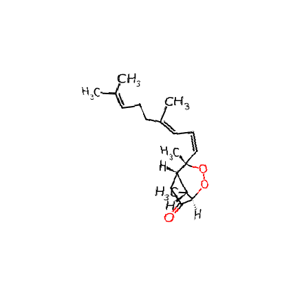 CC(C)=CCC/C(C)=C/C=C\[C@]1(C)OO[C@H]2C(=O)C[C@H]1[C@H]2C